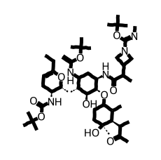 C=C(NC1C[C@@H](NC(=O)C(C)C2CN(/C(=N/C)OC(C)(C)C)C2)[C@H](OC2CC[C@](C)(O)[C@H](C(C)C(C)=O)C2C)[C@@H](O)[C@@H]1C[C@H]1OC(CC)=CC[C@H]1NC(=O)OC(C)(C)C)OC(C)(C)C